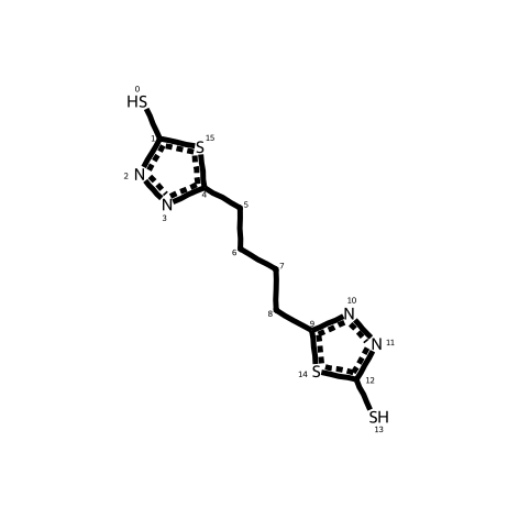 Sc1nnc(CCCCc2nnc(S)s2)s1